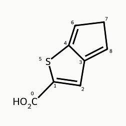 O=C(O)c1cc2c(s1)=CCC=2